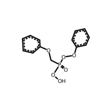 O=P(COc1ccccc1)(OO)OOc1ccccc1